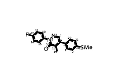 CSc1ccc(-c2cnn(-c3ccc(F)cc3)c(=O)c2C)cc1